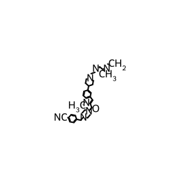 C=C/N=C(C)\C=N/CCN1CCC(c2ccc3c(c2)cc(C(=O)N2CCN(Cc4ccc(C#N)cc4)CC2)n3C)CC1